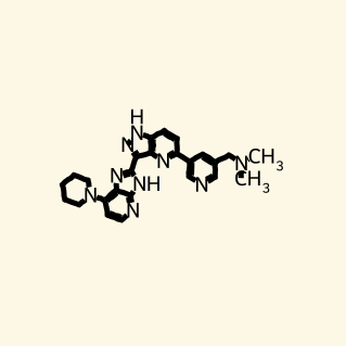 CN(C)Cc1cncc(-c2ccc3[nH]nc(-c4nc5c(N6CCCCC6)ccnc5[nH]4)c3n2)c1